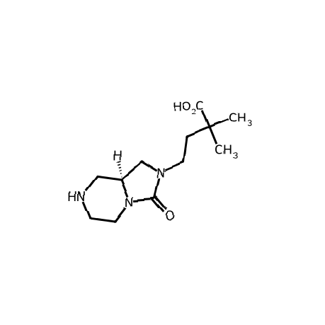 CC(C)(CCN1C[C@@H]2CNCCN2C1=O)C(=O)O